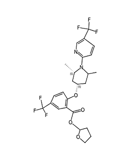 CC1C[C@H](Oc2ccc(C(F)(F)F)cc2C(=O)OC2CCCO2)C[C@H](C)N1c1ccc(C(F)(F)F)cn1